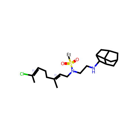 CCS(=O)(=O)N(C/C=C(\C)CC/C=C(\C)Cl)CCNC1C2CC3CC(C2)CC1C3